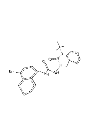 CC(C)(C)OC(=O)[C@H](Cc1ccccc1)NC(=O)Nc1ccc(Br)c2ccccc12